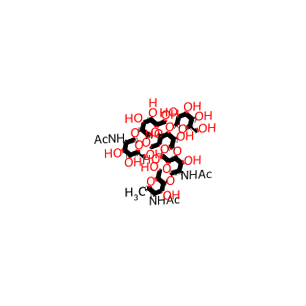 CC(=O)NC1C(O)[C@H](O)[C@H](CO)O[C@H]1O[C@@H]1C(O)[C@H](O)C(CO)O[C@@H]1OCC1O[C@@H](O[C@@H]2C(CO)O[C@@H](O[C@@H]3C(CO)O[C@@H](C)[C@@H](NC(C)=O)C3O)[C@@H](NC(C)=O)C2O)[C@H](O)C(O[C@H]2O[C@H](CO)[C@@H](O)C(O)C2O)[C@@H]1O